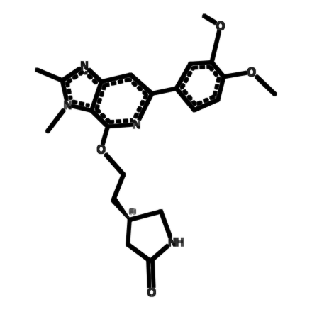 COc1ccc(-c2cc3nc(C)n(C)c3c(OCC[C@H]3CNC(=O)C3)n2)cc1OC